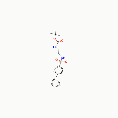 CC(C)(C)OC(=O)NCCNS(=O)(=O)c1ccc(-c2ccccc2)cc1